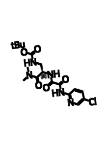 CN(C)C(=O)[C@@H](CNC(=O)OC(C)(C)C)NC(=O)C(=O)Nc1ccc(Cl)cn1